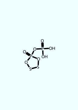 O=P(O)(O)OP1(=O)OSSO1